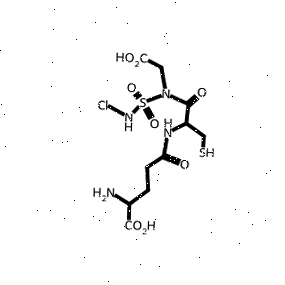 NC(CCC(=O)NC(CS)C(=O)N(CC(=O)O)S(=O)(=O)NCl)C(=O)O